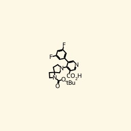 CC(C)(C)OC(=O)N1CCC12CCN(c1c(C(=O)O)cncc1-c1cc(F)cc(F)c1)C2